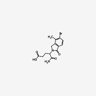 Cc1c(Br)ccc2c1CN(C(CCC(=O)O)C(N)=O)C2=O